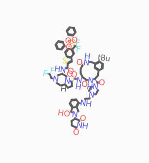 CC(C)(C)c1ccc2cc1CNC(=O)CC[C@H](NC(=O)[C@@H]1CC[C@@H]3CCN(CC(F)F)C[C@H](NC(=O)c4cc5cc(C(F)(F)P(=O)(Oc6ccccc6)Oc6ccccc6)ccc5s4)C(=O)N31)C(=O)N[C@H](C(=O)N1CCN(CCNc3cccc4c3CN(C3CCC(=O)NC3=O)C4O)CC1)C2